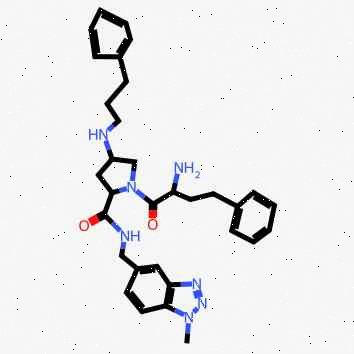 Cn1nnc2cc(CNC(=O)C3CC(NCCCc4ccccc4)CN3C(=O)C(N)CCc3ccccc3)ccc21